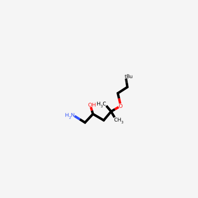 CC(C)(C)CCOC(C)(C)CC(O)CN